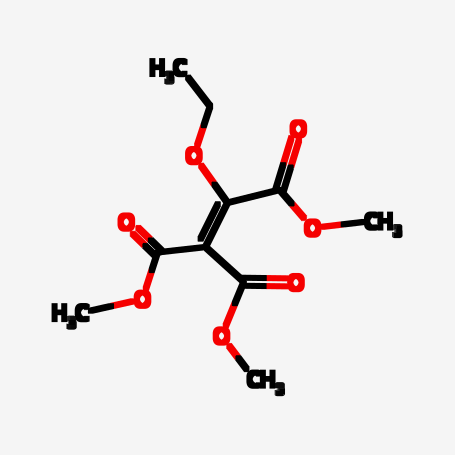 CCOC(C(=O)OC)=C(C(=O)OC)C(=O)OC